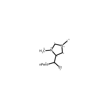 CCCCCC(CC)C1CN(I)CN1C